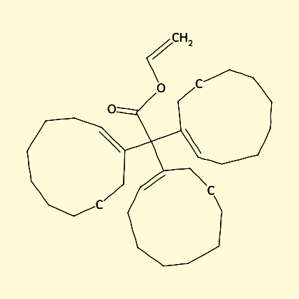 C=COC(=O)C(C1=CCCCCCCCC1)(C1=CCCCCCCCC1)C1=CCCCCCCCC1